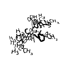 COc1ccc(C[C@H](NC(=O)[C@H](CNC(=O)O)NC(=O)[C@@H](C)Cc2nc(C)cs2)[C@@H](O)C[C@@H](C)C(=O)N[C@H](C(=O)NCC(C)C)C(C)C)cc1